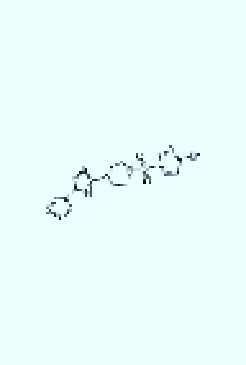 O=S(=O)(c1ccc(Br)nc1)N1CCN(c2nc(-c3ccsc3)cs2)CC1